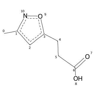 Cc1cc(CCC(=O)O)on1